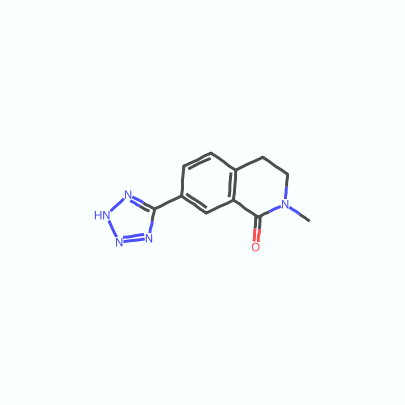 CN1CCc2ccc(-c3nn[nH]n3)cc2C1=O